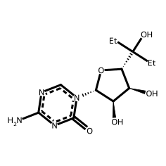 CCC(O)(CC)[C@H]1O[C@@H](n2cnc(N)nc2=O)[C@H](O)[C@@H]1O